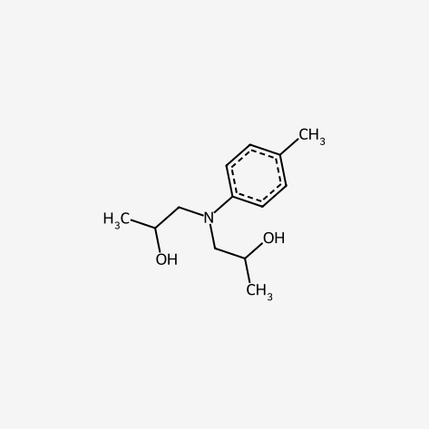 Cc1ccc(N(CC(C)O)CC(C)O)cc1